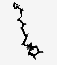 ClCCCCCC[C@@H]1C=CCC1